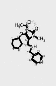 CC(C)n1c(SC2CCCCC2)c(CNCc2ccncc2)n(C)c1=O